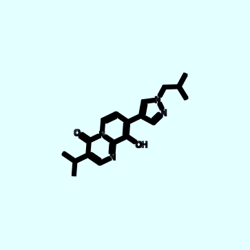 CC(C)Cn1cc(-c2ccn3c(=O)c(C(C)C)cnc3c2O)cn1